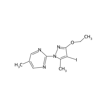 CCOc1nn(-c2ncc(C)cn2)c(C)c1I